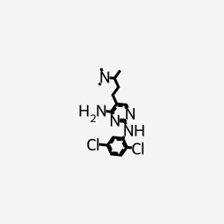 CC(CCc1cnc(Nc2cc(Cl)ccc2Cl)nc1N)N(C)C